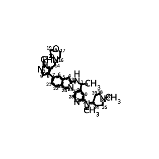 CC(Nc1cc2cc(-c3cnn(C)c3CN3CCOCC3)ccc2cn1)c1ccnc(N(C)C2CCN(C)CC2)c1